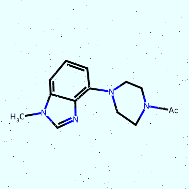 CC(=O)N1CCN(c2cccc3c2ncn3C)CC1